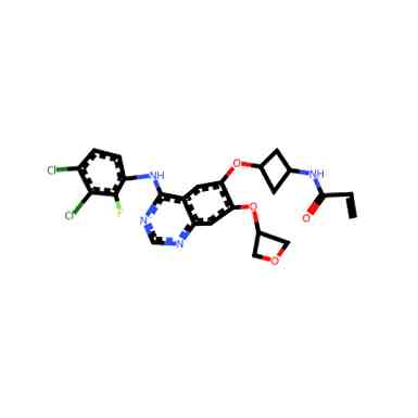 C=CC(=O)NC1CC(Oc2cc3c(Nc4ccc(Cl)c(Cl)c4F)ncnc3cc2OC2COC2)C1